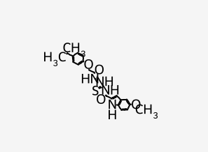 COc1ccc2[nH]c(C(=O)NC(=S)NNC(=O)COc3ccc(C(C)C)cc3)cc2c1